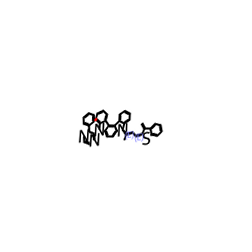 C=c1/c(=C\C=C(/C)n2c3ccccc3c3c4c5ccccc5n(-c5nccnc5-c5ccccc5)c4ccc32)sc2ccccc12